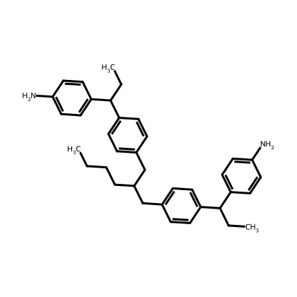 CCCCC(Cc1ccc(C(CC)c2ccc(N)cc2)cc1)Cc1ccc(C(CC)c2ccc(N)cc2)cc1